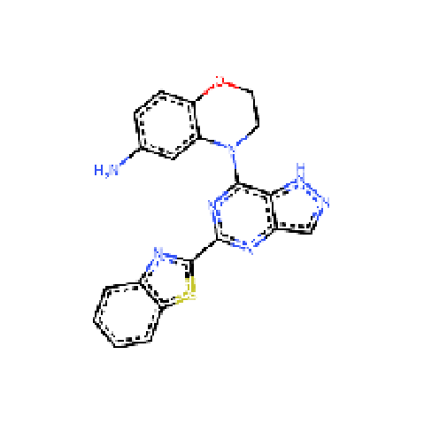 Nc1ccc2c(c1)N(c1nc(-c3nc4ccccc4s3)nc3cn[nH]c13)CCO2